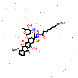 CCCCCCCCCCCCCCCCCC(=O)N/N=C(\CO)[C@@]1(O)Cc2c(O)c3c(c(O)c2[C@@H](O[C@H]2C[C@@H](N)[C@H](O)C(C)O2)C1)C(=O)c1c(OC)cccc1C3=O